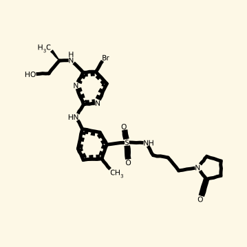 Cc1ccc(Nc2ncc(Br)c(N[C@H](C)CO)n2)cc1S(=O)(=O)NCCCN1CCCC1=O